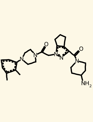 Cc1cccc(N2CCN(C(=O)Cn3nc(C(=O)N4CCC(N)CC4)c4c3CCC4)CC2)c1C